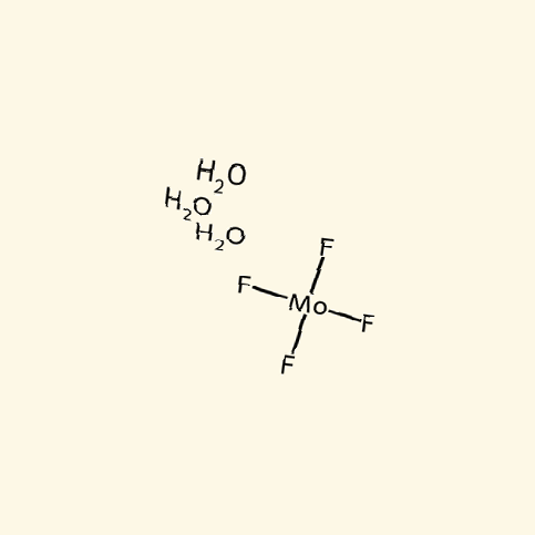 O.O.O.[F][Mo]([F])([F])[F]